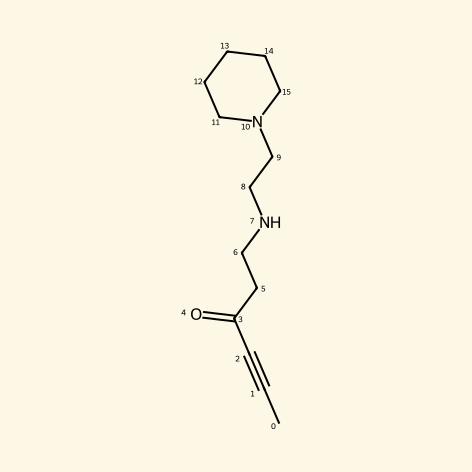 CC#CC(=O)CCNCCN1CCCCC1